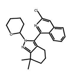 CC1(C)CCCc2c1nn(C1CCCCO1)c2-c1nc(Cl)cc2ccccc12